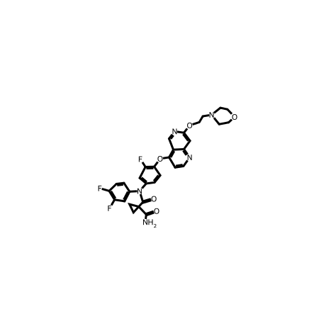 NC(=O)C1(C(=O)N(c2ccc(F)c(F)c2)c2ccc(Oc3ccnc4cc(OCCN5CCOCC5)ncc34)c(F)c2)CC1